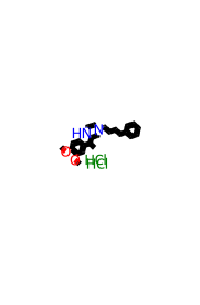 COc1ccc(C(C)C2CN(CCCCc3ccccc3)CCN2)cc1OC.Cl.Cl